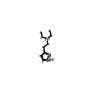 CCN(CC)CCc1cc[nH]n1